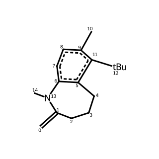 C=C1CCCc2c(ccc(C)c2C(C)(C)C)N1C